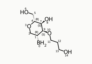 B[C@@H]1CO[C@H](CO)[C@@H](O)[C@H]1OCCCO